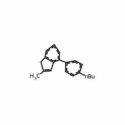 CCCCc1ccc(-c2cccc3c2C=C(C)[CH]3)cc1